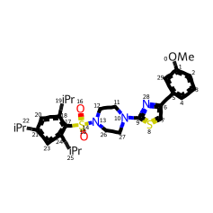 COc1cccc(-c2csc(N3CCN(S(=O)(=O)c4c(C(C)C)cc(C(C)C)cc4C(C)C)CC3)n2)c1